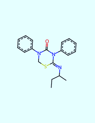 CCC(C)N=C1SCN(c2ccccc2)C(=O)N1c1ccccc1